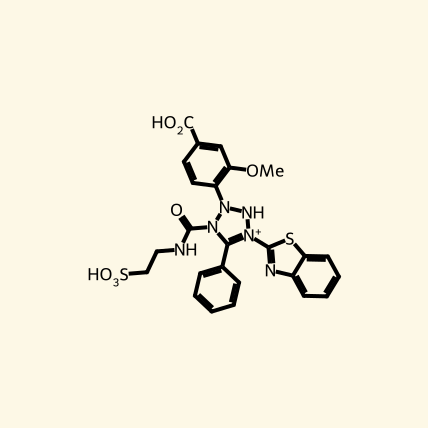 COc1cc(C(=O)O)ccc1N1N[N+](c2nc3ccccc3s2)=C(c2ccccc2)N1C(=O)NCCS(=O)(=O)O